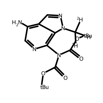 [2H]C([2H])([2H])n1ncc2c(N)cnc(N(C(=O)OC(C)(C)C)C(=O)OC(C)(C)C)c21